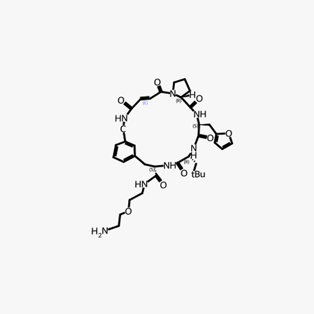 CC(C)(C)C[C@H]1NC(=O)[C@H](Cc2ccco2)NC(=O)[C@H]2CCCN2C(=O)/C=C/C(=O)NCc2cccc(c2)C[C@@H](C(=O)NCCOCCN)NC1=O